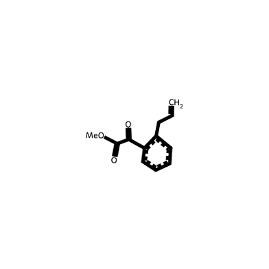 C=CCc1ccccc1C(=O)C(=O)OC